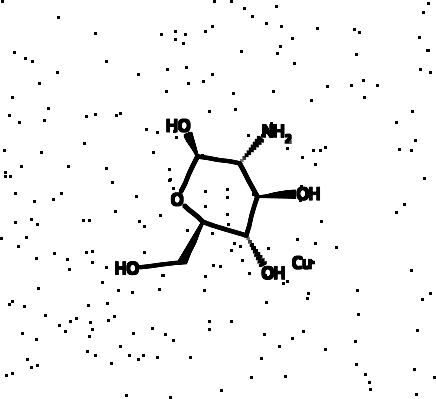 N[C@@H]1[C@@H](O)[C@H](O)[C@@H](CO)O[C@H]1O.[Cu]